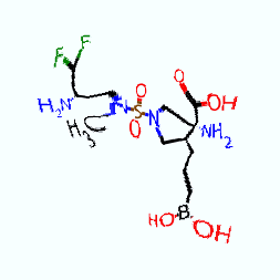 CN(C[C@H](N)C(F)F)S(=O)(=O)N1C[C@H](CCCB(O)O)[C@](N)(C(=O)O)C1